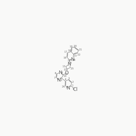 Clc1ccc(-c2nccnc2OC2CN(c3ccc4ccccc4n3)C2)cn1